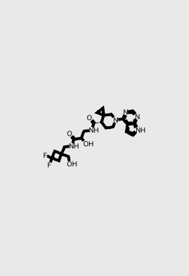 O=C(NCC1(CO)CC(F)(F)C1)C(O)CNC(=O)[C@H]1CCN(c2ncnc3[nH]ccc23)CC12CC2